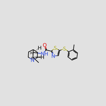 Cc1ccccc1Sc1cnc(C(=O)N[C@@H]2C3CCN(CC3)[C@H]2C)s1